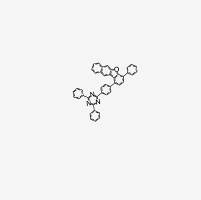 c1ccc(-c2nc(-c3ccccc3)nc(-c3ccc(-c4ccc(-c5ccccc5)c5oc6cc7ccccc7cc6c45)cc3)n2)cc1